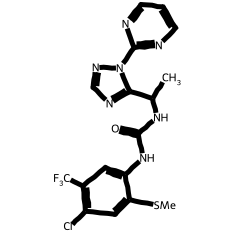 CSc1cc(Cl)c(C(F)(F)F)cc1NC(=O)NC(C)c1ncnn1-c1ncccn1